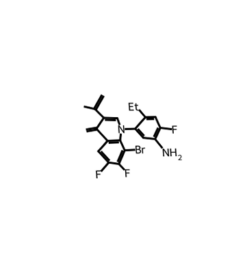 C=C(C)C1=CN(c2cc(N)c(F)cc2CC)c2c(cc(F)c(F)c2Br)C1=C